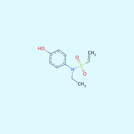 C=CS(=O)(=O)N(CC)c1ccc(O)cc1